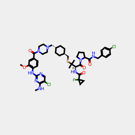 CNc1nc(Nc2ccc(C(=O)N3CCN(C[C@H]4CC[C@H](CSC(C)(C)[C@H](NC(=O)C5(F)CC5)C(=O)N5CCCC5C(=O)NCc5ccc(Cl)cc5)CC4)CC3)cc2OC)ncc1Cl